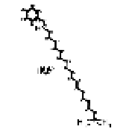 CC(C)CCCCCCCCCCCCCCCCCNCc1ccccc1.Cl.O